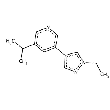 CCn1cc(-c2cncc(C(C)C)c2)cn1